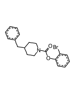 O=C(Oc1ccccc1Br)N1CCC(Cc2ccccc2)CC1